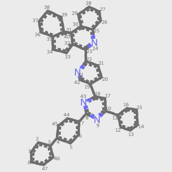 c1ccc(-c2ccc(-c3nc(-c4ccccc4)cc(-c4ccc(-c5nc6ccccc6c6c5ccc5ccccc56)nc4)n3)cc2)cc1